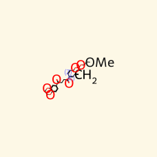 C=C/C=C(\C=C/COCOCCOC)C(=O)CCC(=O)c1ccc2c(c1)OCCO2